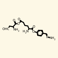 NN=Cc1ccc(OC(=O)C(N)CCCC(=O)OC(=O)C(N)CC=O)cc1